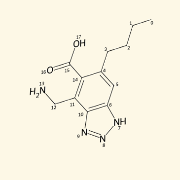 CCCCc1cc2[nH]nnc2c(CN)c1C(=O)O